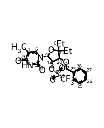 CCC1(CC)O[C@@H](n2cc(C)c(=O)[nH]c2=O)[C@@H](OS(=O)(=O)C(F)(F)F)C1OCc1ccccc1